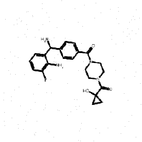 Nc1c(F)cccc1C(N)c1ccc(C(=O)N2CCN(C(=O)C3(O)CC3)CC2)cc1